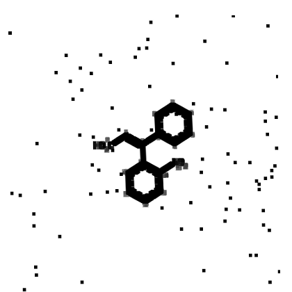 O=C(O)C=C(c1ccccc1)c1ccccc1[N+](=O)[O-]